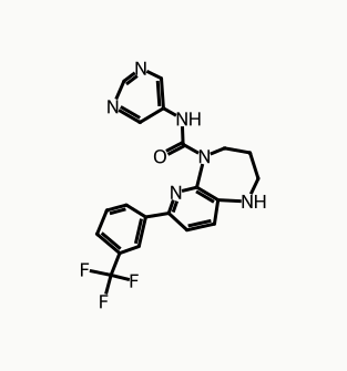 O=C(Nc1cncnc1)N1CCCNc2ccc(-c3cccc(C(F)(F)F)c3)nc21